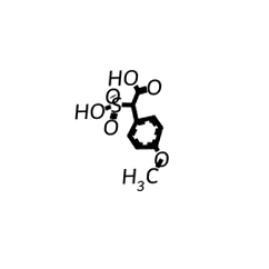 COc1ccc(C(C(=O)O)S(=O)(=O)O)cc1